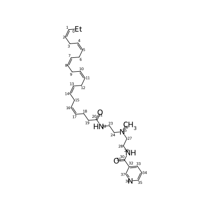 CC/C=C\C/C=C\C/C=C\C/C=C\C/C=C\C/C=C\CCC(=O)NCCN(C)CCNC(=O)c1cccnc1